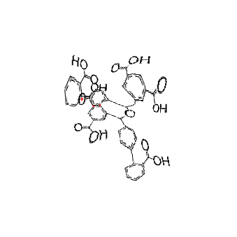 O=C(O)c1cc(C(=O)O)cc(C(OC(c2ccc(-c3ccccc3C(=O)O)cc2)c2cc(C(=O)O)cc(C(=O)O)c2)c2ccc(-c3ccccc3C(=O)O)cc2)c1